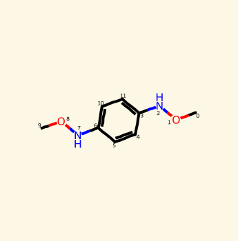 CONc1ccc(NOC)cc1